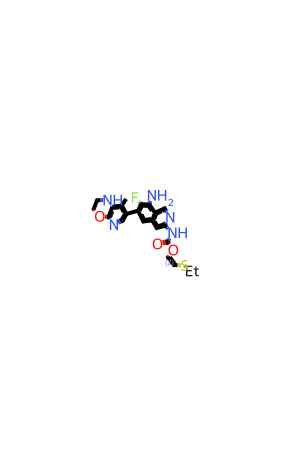 CCS/C=C\OC(=O)Nc1cc2cc(-c3cnc4c(c3C)NCCO4)c(F)c(N)c2cn1